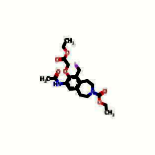 CCOC(=O)COc1c(NC(C)=O)cc2c(c1CI)CCN(C(=O)OCC)CC2